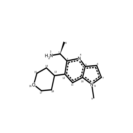 C[C@H](N)c1nc2ccn(C)c2cc1C1CCOCC1